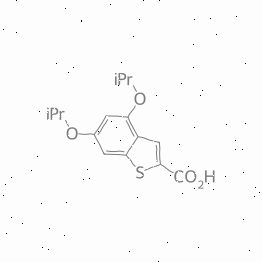 CC(C)Oc1cc(OC(C)C)c2cc(C(=O)O)sc2c1